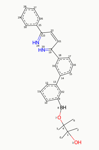 CC(C)(O)C(C)(C)OBc1cccc(-c2cccc(C(=N)/C=C\C(=N)c3ccccc3)c2)c1